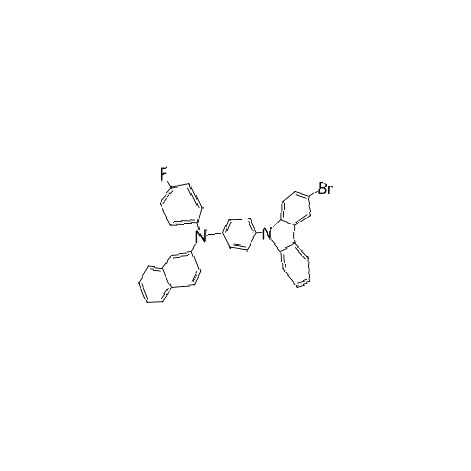 Fc1ccc(N(c2ccc(-n3c4ccccc4c4cc(Br)ccc43)cc2)c2ccc3ccccc3c2)cc1